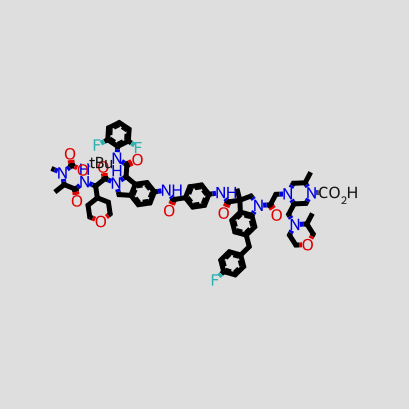 CC1COCCN1CC1CN(C(=O)O)C(C)CN1CC(=O)N1CC(C)(C(=O)Nc2ccc(C(=O)Nc3ccc4c(c3)C(C(=O)Nc3c(F)cccc3F)N(C(=O)C(NC(=O)C(C)N(C)C(=O)OC(C)(C)C)C3CCOCC3)C4)cc2)c2ccc(Cc3ccc(F)cc3)cc21